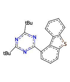 CC(C)(C)c1nc(-c2cccc3sc4ccccc4c23)nc(C(C)(C)C)n1